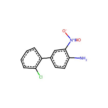 Nc1ccc(-c2ccccc2Cl)cc1[N+](=O)[O-]